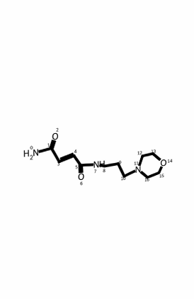 NC(=O)C=CC(=O)NCCCN1CCOCC1